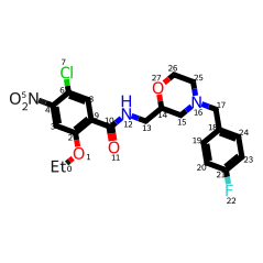 CCOc1cc([N+](=O)[O-])c(Cl)cc1C(=O)NCC1CN(Cc2ccc(F)cc2)CCO1